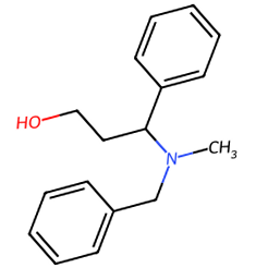 CN(Cc1ccccc1)C(CCO)c1ccccc1